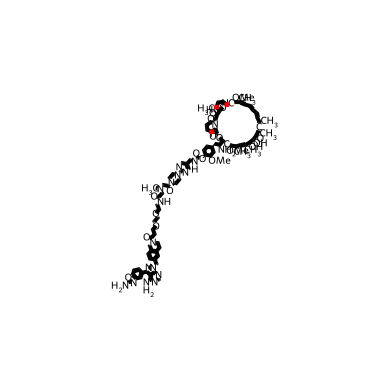 CO[C@H]1C[C@@H]2CC[C@@H](C)[C@@](O)(O2)C(=O)C(=O)N2CCCC[C@H]2C(=O)O[C@H]([C@H](N)C[C@@H]2CC[C@@H](OC(=O)NCc3cnc(N4CCN(C(=O)CN(C)CC(=O)NCCOCCOCCC(=O)N5CCc6cc(Cn7nc(-c8ccc9oc(N)nc9c8)c8c(N)ncnc87)ccc6C5)CC4)nc3)[C@H](OC)C2)C[C@@H](OC)[C@H](C)/C=C(\C)[C@@H](O)[C@@H](O)C(=O)[C@H](C)C[C@H](C)/C=C/C=C/C=C/1C